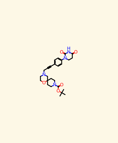 CC(C)(C)OC(=O)N1CCC2(CC1)CN(CC#Cc1ccc(N3CCC(=O)NC3=O)cc1)CCO2